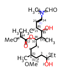 CC[C@@H](O)C[C@H](OC)[C@@H](C)CC[C@@H](OC(=O)[C@@H](C)OC)[C@H](C)[C@H](O)[C@H](C)/C=C/N(C)C=O